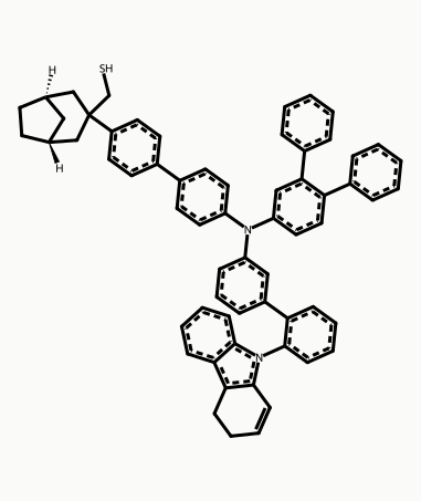 SCC1(c2ccc(-c3ccc(N(c4cccc(-c5ccccc5-n5c6c(c7ccccc75)CCC=C6)c4)c4ccc(-c5ccccc5)c(-c5ccccc5)c4)cc3)cc2)C[C@@H]2CC[C@H](C2)C1